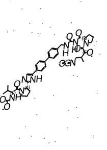 COC(=O)N[C@H](C(=O)N1CCC[C@H]1c1ncc(-c2ccc(-c3ccc(CNC(=O)NC(=O)[C@@H]4CCCN4C(=O)[C@@H](OC)C(C)CN=C=O)cc3)cc2)[nH]1)C(C)C